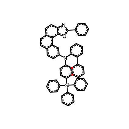 c1ccc(-c2nc3ccc4ccc5ccc(N(c6ccc([Si](c7ccccc7)(c7ccccc7)c7ccccc7)cc6)c6ccccc6-c6ccccc6)cc5c4c3o2)cc1